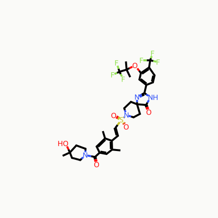 Cc1cc(C(=O)N2CCC(C)(O)CC2)cc(C)c1C=CS(=O)(=O)N1CCC2(CC1)N=C(c1ccc(C(F)(F)F)c(OC(C)(C)C(F)(F)F)c1)NC2=O